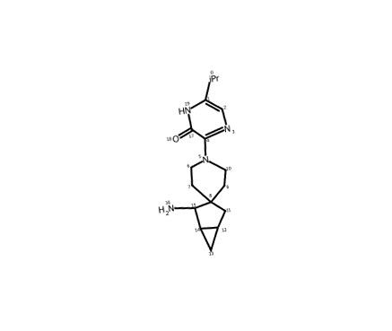 CC(C)c1cnc(N2CCC3(CC2)CC2CC2C3N)c(=O)[nH]1